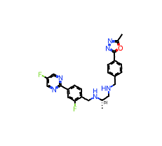 Cc1nnc(-c2ccc(CNC[C@H](C)NCc3ccc(-c4ncc(F)cn4)cc3F)cc2)o1